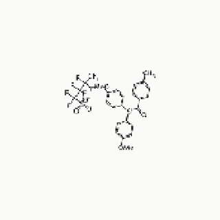 COc1ccc([S+](C(=O)c2ccc(C)cc2)c2ccc(OC)cc2)cc1.O=S(=O)([O-])C(F)(F)C(F)(F)C(F)(F)C(F)(F)F